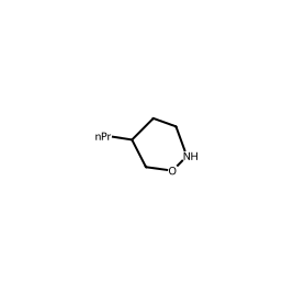 CCCC1CCNOC1